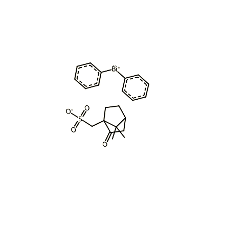 CC1(C)C2CCC1(CS(=O)(=O)[O-])C(=O)C2.c1cc[c]([Bi+][c]2ccccc2)cc1